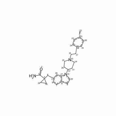 NC(=O)C1(Cc2ccc3ccn(C4CCN(CCc5ccc(F)cc5)CC4)c3c2)CC1